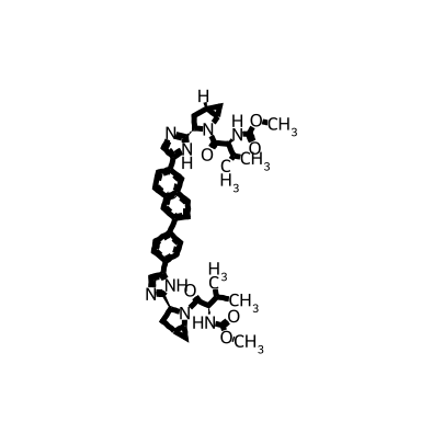 COC(=O)N[C@H](C(=O)N1C2CC2C[C@H]1c1ncc(-c2ccc(-c3ccc4cc(-c5cnc([C@@H]6C[C@@H]7CC7N6C(=O)[C@@H](NC(=O)OC)C(C)C)[nH]5)ccc4c3)cc2)[nH]1)C(C)C